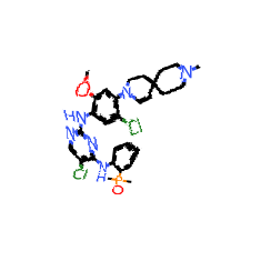 COc1cc(N2CCC3(CCN(C)CC3)CC2)c(Cl)cc1Nc1ncc(Cl)c(Nc2ccccc2P(C)(C)=O)n1